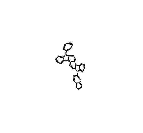 c1ccc(-n2c3ccccc3c3c4ccc5c(c4ccc32)c2ccccc2n5-c2ncc3ccccc3n2)cc1